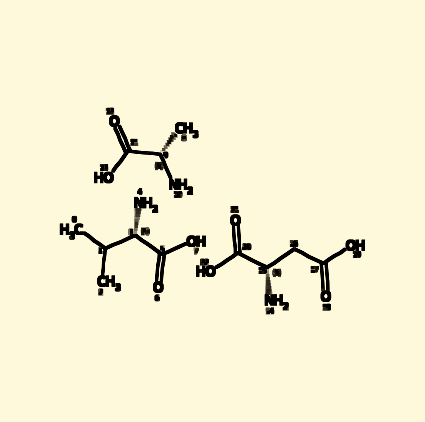 CC(C)[C@H](N)C(=O)O.C[C@H](N)C(=O)O.N[C@@H](CC(=O)O)C(=O)O